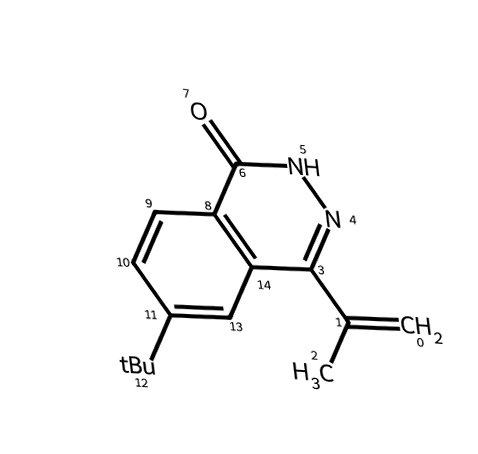 C=C(C)c1n[nH]c(=O)c2ccc(C(C)(C)C)cc12